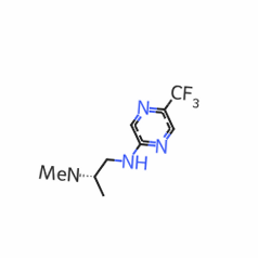 CN[C@@H](C)CNc1cnc(C(F)(F)F)cn1